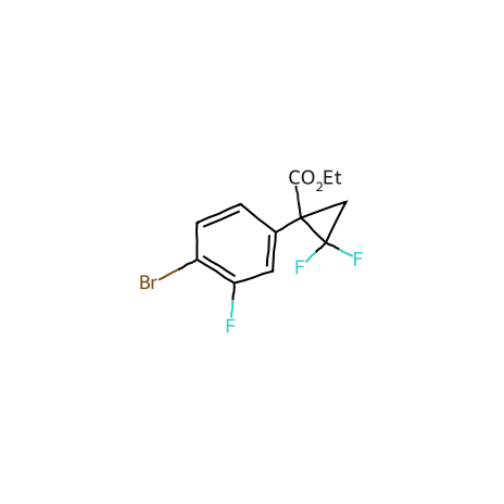 CCOC(=O)C1(c2ccc(Br)c(F)c2)CC1(F)F